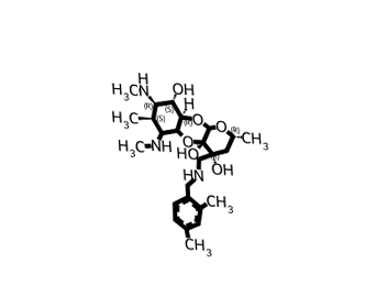 CNC1C2O[C@]3(O)C(O[C@H](C)C[C@@]3(O)CNCc3ccc(C)cc3C)O[C@@H]2[C@@H](O)[C@H](NC)[C@@H]1C